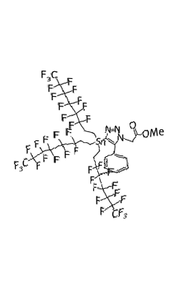 COC(=O)Cn1nn[c]([Sn]([CH2]CC(F)(F)C(F)(F)C(F)(F)C(F)(F)C(F)(F)C(F)(F)F)([CH2]CC(F)(F)C(F)(F)C(F)(F)C(F)(F)C(F)(F)C(F)(F)F)[CH2]CC(F)(F)C(F)(F)C(F)(F)C(F)(F)C(F)(F)C(F)(F)F)c1-c1ccccc1